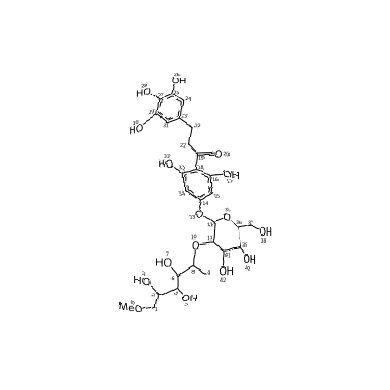 COCC(O)C(O)C(O)C(C)OC1C(Oc2cc(O)c(C(=O)CCc3cc(O)c(O)c(O)c3)c(O)c2)OC(CO)C(O)C1O